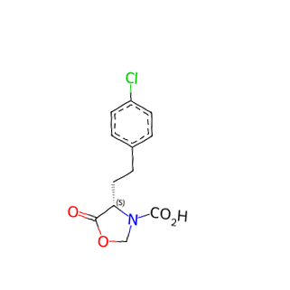 O=C1OCN(C(=O)O)[C@H]1CCc1ccc(Cl)cc1